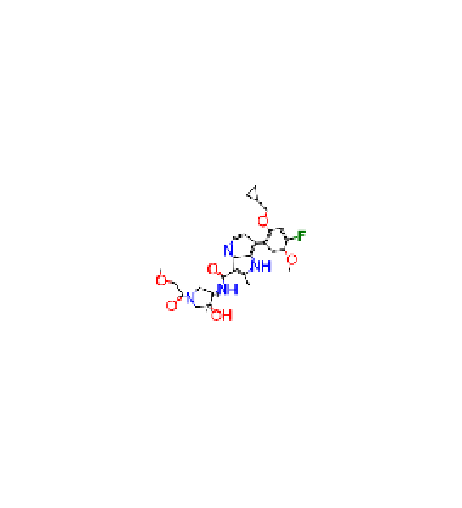 COCC(=O)N1C[C@H](O)[C@H](NC(=O)c2c(C)[nH]c3c(-c4cc(OC)c(F)cc4OCC4CC4)ccnc23)C1